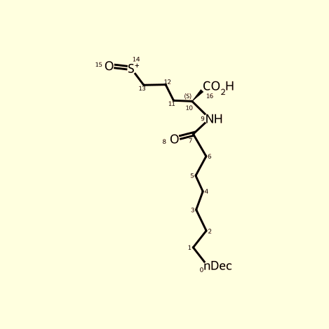 CCCCCCCCCCCCCCCCC(=O)N[C@@H](CCC[S+]=O)C(=O)O